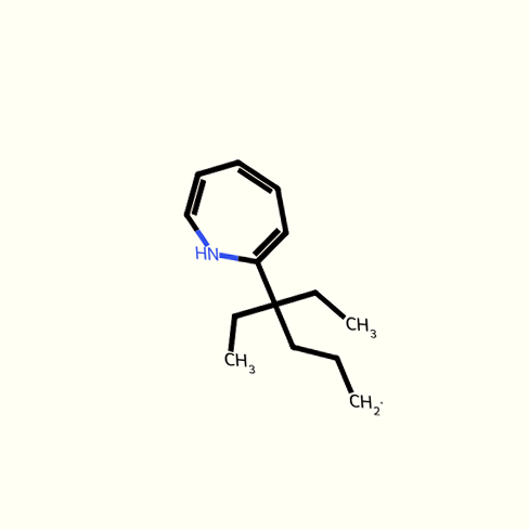 [CH2]CCC(CC)(CC)C1=CC=CC=CN1